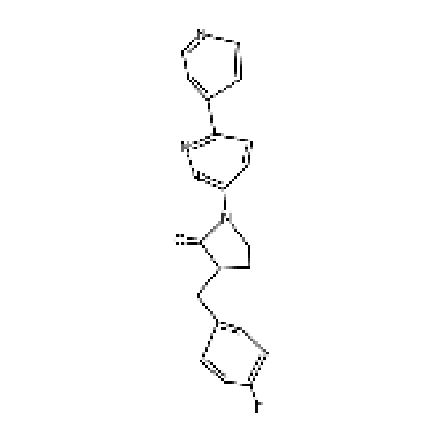 O=C1C(Cc2ccc(F)cc2)CCN1c1ccc(-c2ccncc2)nn1